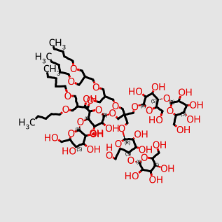 CCCCCOCC(COCCCCC)COCC(COCC(COCCCCC)COCCCCC)COCC(CO[C@@H]1OC(CO)[C@@H](O[C@H]2OC(CO)[C@@H](O)C(O)C2O)C(O)C1O)(CO[C@@H]1OC(CO)[C@@H](O[C@@H]2OC(CO)[C@@H](O)C(O)C2O)C(O)C1O)CO[C@@H]1OC(CO)[C@H](O[C@H]2OC(CO)[C@@H](O)C(O)C2O)C(O)C1O